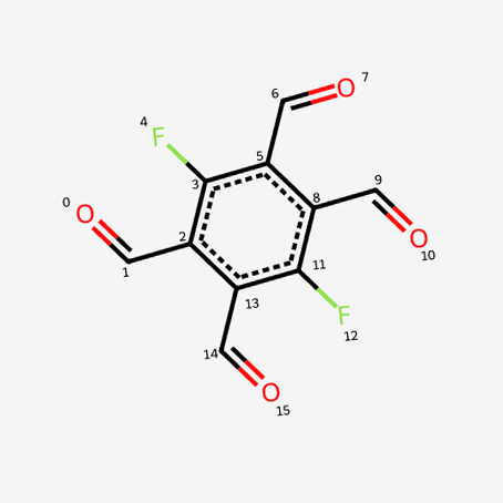 O=Cc1c(F)c(C=O)c(C=O)c(F)c1C=O